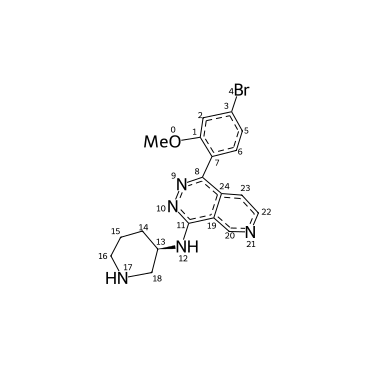 COc1cc(Br)ccc1-c1nnc(N[C@@H]2CCCNC2)c2cnccc12